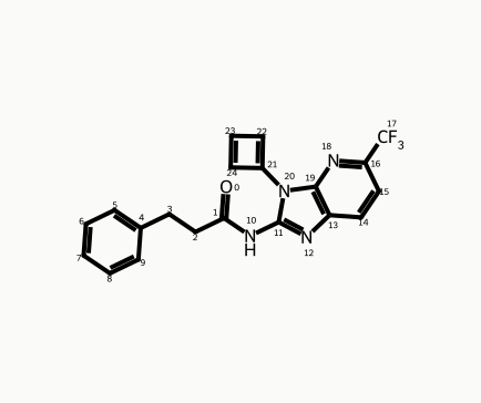 O=C(CCc1ccccc1)Nc1nc2ccc(C(F)(F)F)nc2n1C1=CC=C1